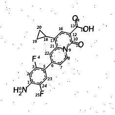 Nc1cc(F)c(-c2ccn3c(=O)c(C(=O)O)cc(C4CC4)c3c2)cc1F